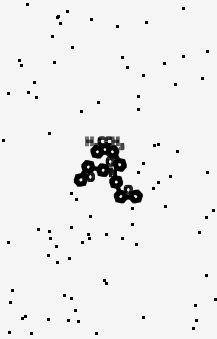 CC1(C)c2ccccc2-c2c1ccc1c2oc2c(N(c3ccc(-c4cccc5c4oc4ccccc45)cc3)c3ccc(-c4cccc5c4oc4ccccc45)cc3)cccc21